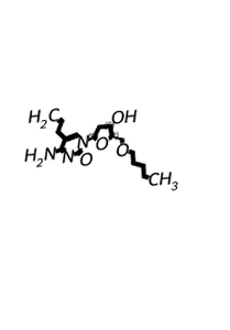 C=CCc1cn([C@H]2C[C@H](O)[C@@H](COCCCCC)O2)c(=O)nc1N